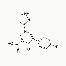 O=C(O)c1cn(-c2cc[nH]n2)cc(-c2ccc(F)cc2)c1=O